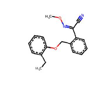 CCc1ccccc1OCc1ccccc1C(C#N)=NOC